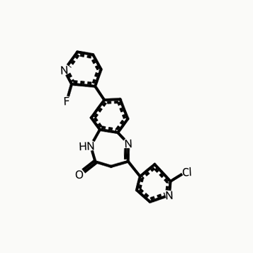 O=C1CC(c2ccnc(Cl)c2)=Nc2ccc(-c3cccnc3F)cc2N1